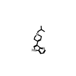 C[C](C)CN1CC=C(c2c[nH]c3cccnc23)CC1